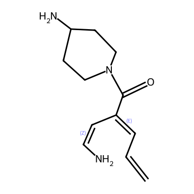 C=C/C=C(\C=C/N)C(=O)N1CCC(N)CC1